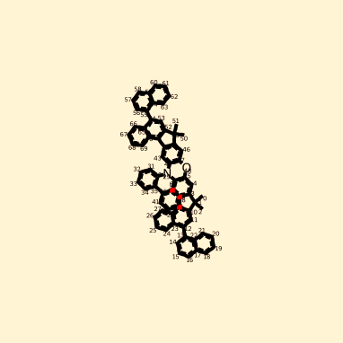 CC1(C)c2cc3c(cc2-c2c1cc(-c1cccc4ccccc14)c1ccccc21)N(c1ccccc1-c1ccccc1)c1cc2c(cc1O3)C(C)(C)c1cc(-c3cccc4ccccc34)c3ccccc3c1-2